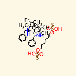 CC(C)C(C)C(C)(C)NCc1ccccc1.CC(C)C(C)C(C)(C)NCc1ccccc1.O=S(O)(=S)OCCCCCCOS(=O)(O)=S